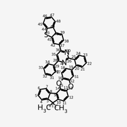 CC1(C)c2ccccc2-c2c1ccc1c2Oc2ccc(-c3ccccc3-c3nc(-c4ccccc4)cc(-c4ccc5c(c4)sc4ccccc45)n3)cc2O1